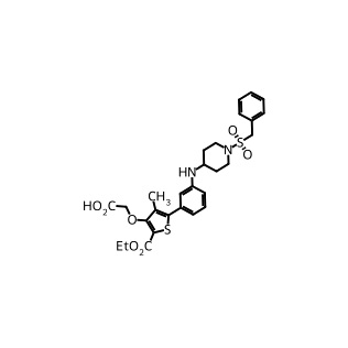 CCOC(=O)c1sc(-c2cccc(NC3CCN(S(=O)(=O)Cc4ccccc4)CC3)c2)c(C)c1OCC(=O)O